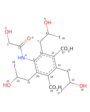 O=C(CO)Nc1c(CC(O)I)c(C(=O)O)c(CC(O)I)c(C(=O)O)c1CC(O)I